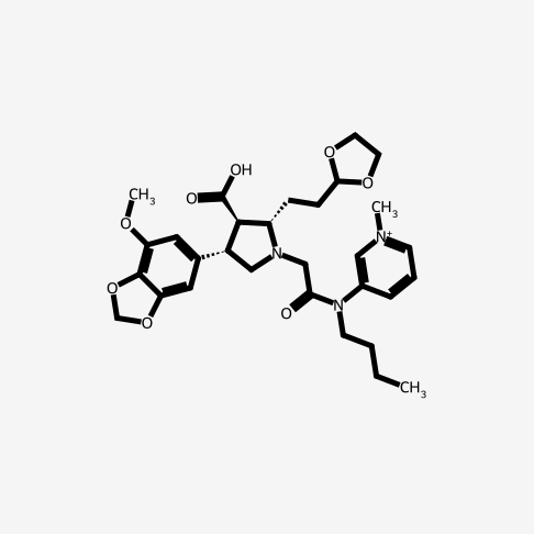 CCCCN(C(=O)CN1C[C@H](c2cc(OC)c3c(c2)OCO3)[C@@H](C(=O)O)[C@@H]1CCC1OCCO1)c1ccc[n+](C)c1